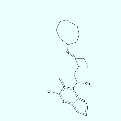 C[C@@H](CC1CCC1=NC1CCCCCCC1)n1c(=O)c(Cl)nc2ccccc21